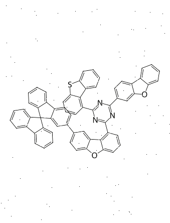 c1ccc2c(c1)-c1ccccc1C21c2ccccc2-c2ccc(-c3ccc4oc5cccc(-c6nc(-c7ccc8c(c7)oc7ccccc78)nc(-c7cccc8sc9ccccc9c78)n6)c5c4c3)cc21